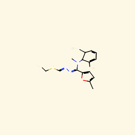 COC1=CC=CC(OC)C1N(C)/C(=N\N=C\SCC#N)c1ccc(C)o1